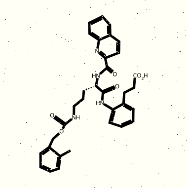 Cc1ccccc1COC(=O)NCCC[C@H](NC(=O)c1ccc2ccccc2n1)C(=O)Nc1ccccc1CCC(=O)O